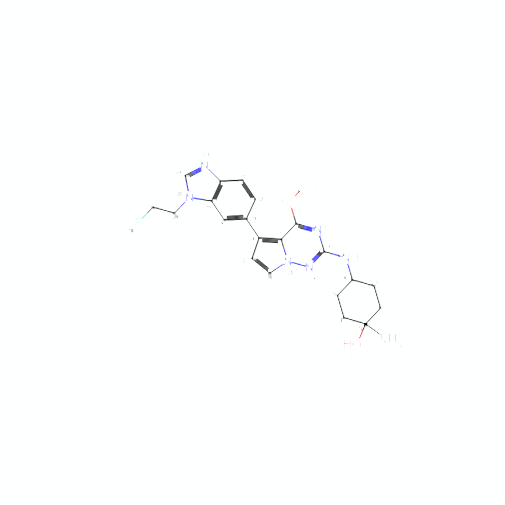 COc1nc(NC2CCC(C)(O)CC2)nn2ccc(-c3ccc4ncn(CCF)c4c3)c12